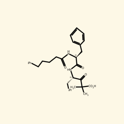 CC(C)CCCCC(=O)N[C@@H](Cc1ccccc1)C(=O)N[C@@H](CC(C)C)C(=O)C(C)(C)C(=O)O